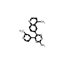 Cc1cc(-c2nc(N)nnc2-c2ccc3nccc(C)c3c2)ccn1